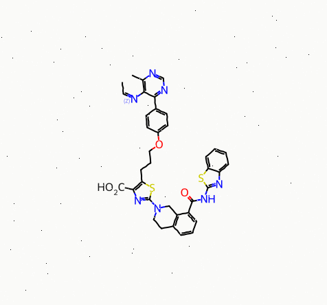 C/C=N\c1c(C)ncnc1-c1ccc(OCCCc2sc(N3CCc4cccc(C(=O)Nc5nc6ccccc6s5)c4C3)nc2C(=O)O)cc1